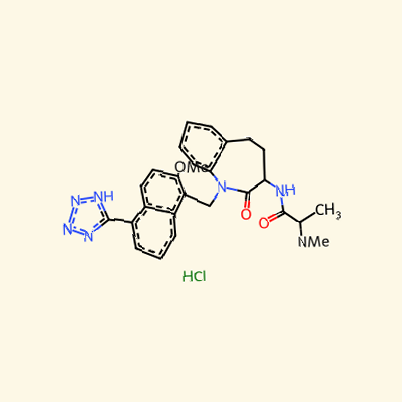 CNC(C)C(=O)NC1CCc2ccccc2N(Cc2c(OC)ccc3c(-c4nnn[nH]4)cccc23)C1=O.Cl